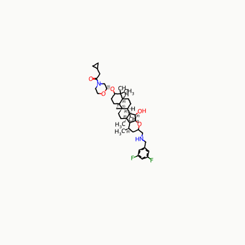 C[C@@H]1CC(CNCc2cc(F)cc(F)c2)OC2C1[C@@]1(C)CC[C@@]34C[C@@]35CCC(O[C@H]3CN(C(=O)CC6CC6)CCO3)C(C)(C)[C@@H]5CC[C@H]4[C@]1(C)[C@H]2O